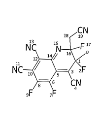 CC1(F)C(C#N)=c2c(F)c(F)c(C#N)c(C#N)c2=NC1(F)CC#N